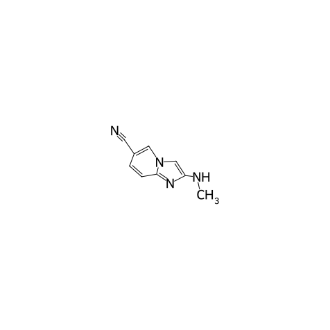 CNc1cn2cc(C#N)ccc2n1